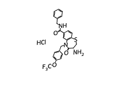 Cl.N[C@H]1CSc2ccc(C(=O)NCc3ccccc3)cc2N(Cc2ccc(OC(F)(F)F)cc2)C1=O